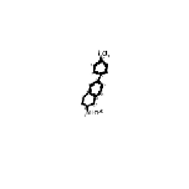 CCCCCCCC1CCc2cc(-c3ccc(C(Cl)(Cl)Cl)cc3)ccc2C1